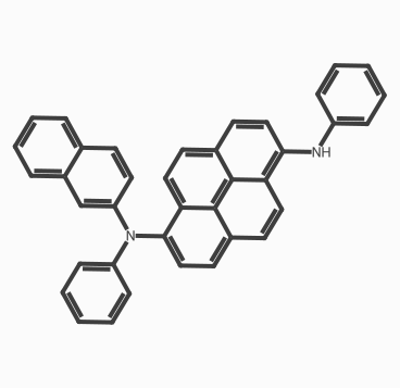 c1ccc(Nc2ccc3ccc4c(N(c5ccccc5)c5ccc6ccccc6c5)ccc5ccc2c3c54)cc1